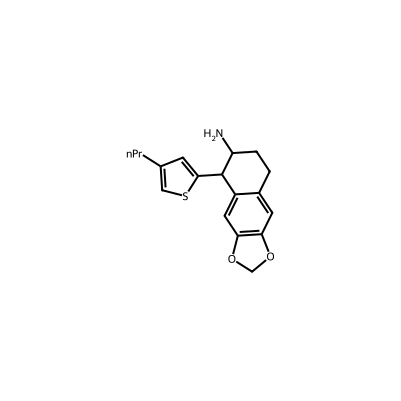 CCCc1csc(C2c3cc4c(cc3CCC2N)OCO4)c1